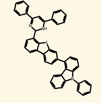 C1=C(c2ccccc2)NC(c2cccc3c2sc2cc(-c4cccc5c4c4ccccc4n5-c4ccccc4)ccc23)N=C1c1ccccc1